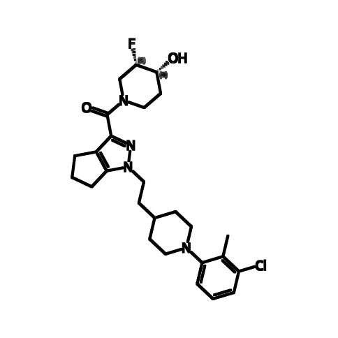 Cc1c(Cl)cccc1N1CCC(CCn2nc(C(=O)N3CC[C@@H](O)[C@@H](F)C3)c3c2CCC3)CC1